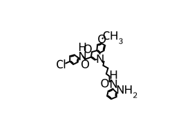 COc1ccc2c(c1)c(=O)c(C(=O)Nc1ccc(Cl)cc1)cn2CCCCCC(=O)Nc1ccccc1N